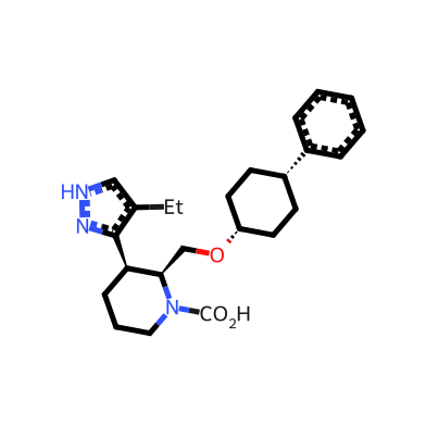 CCc1c[nH]nc1[C@@H]1CCCN(C(=O)O)[C@@H]1CO[C@H]1CC[C@@H](c2ccccc2)CC1